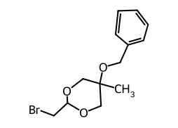 CC1(OCc2ccccc2)COC(CBr)OC1